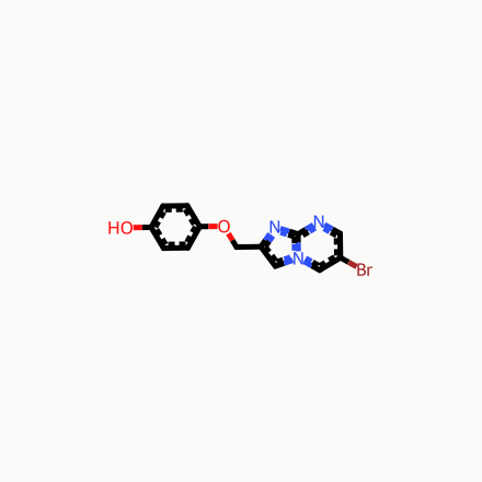 Oc1ccc(OCc2cn3cc(Br)cnc3n2)cc1